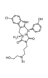 CCN(CCO)CCCN1C(=O)N2[C@H](c3cccc(O)c3)c3[nH]c4ccc(Cl)cc4c3C[C@@]2(C)C1=O